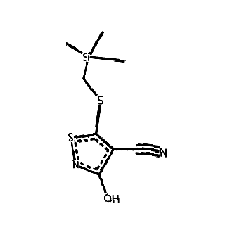 C[Si](C)(C)CSc1snc(O)c1C#N